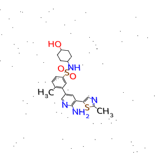 Cc1ncc(-c2cc(-c3cc(S(=O)(=O)NC4CCC(O)CC4)ccc3C)cnc2N)s1